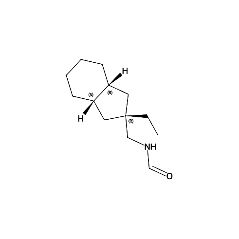 CC[C@]1(CNC=O)C[C@H]2CCCC[C@H]2C1